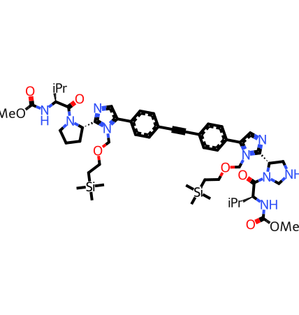 COC(=O)N[C@H](C(=O)N1CCC[C@H]1c1ncc(-c2ccc(C#Cc3ccc(-c4cnc([C@@H]5CNCN5C(=O)[C@@H](NC(=O)OC)C(C)C)n4COCC[Si](C)(C)C)cc3)cc2)n1COCC[Si](C)(C)C)C(C)C